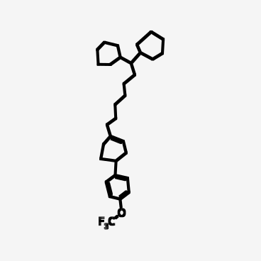 FC(F)(F)Oc1ccc(C2CC=C(CCCCCCC(C3CCCCC3)C3CCCCC3)CC2)cc1